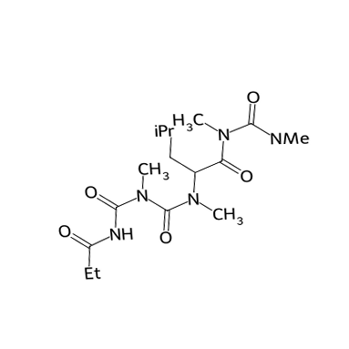 CCC(=O)NC(=O)N(C)C(=O)N(C)C(CC(C)C)C(=O)N(C)C(=O)NC